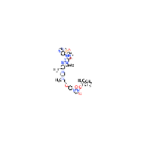 COc1cc(N2CCC(N(C)CCCOc3ccc(-n4ccc(=O)n(COCC[Si](C)(C)C)c4=O)cc3)CC2)c(C)cc1Nc1ncc(Br)c(Nc2ccc3nccnc3c2P(C)(C)=O)n1